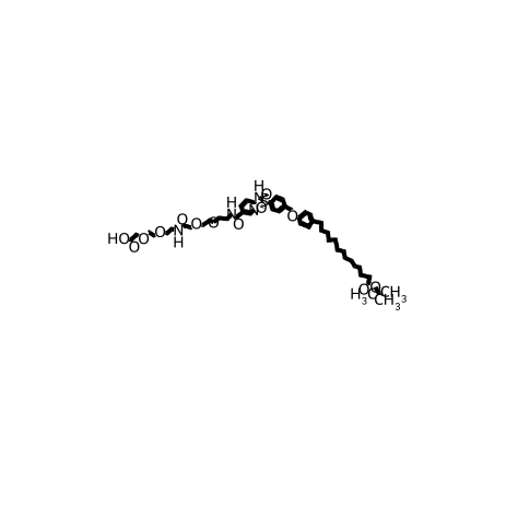 CC(C)(C)OC(=O)CCCCCCCCCCCCCc1ccc(OCc2ccc(S(=O)(=O)Nc3ccc(C(=O)NCCOCCOCC(=O)NCCOCCOCC(=O)O)cn3)cc2)cc1